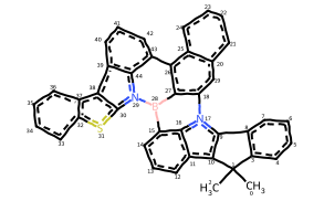 CC1(C)c2ccccc2-c2c1c1cccc3c1n2-c1cc2ccccc2c2c1B3n1c3sc4ccccc4c3c3cccc-2c31